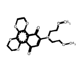 COCCN(CCOC)C1=CC(=O)c2c3c(c4c(c2C1=O)OCCO4)OCCO3